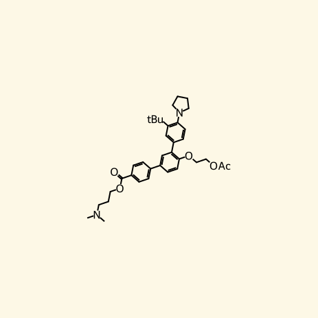 CC(=O)OCCOc1ccc(-c2ccc(C(=O)OCCCN(C)C)cc2)cc1-c1ccc(N2CCCC2)c(C(C)(C)C)c1